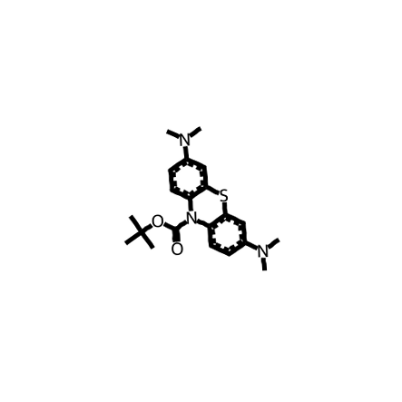 CN(C)c1ccc2c(c1)Sc1cc(N(C)C)ccc1N2C(=O)OC(C)(C)C